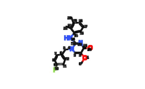 COc1cn(Cc2ccc(F)cc2)c(Nc2cccc(C)c2C)nc1=O